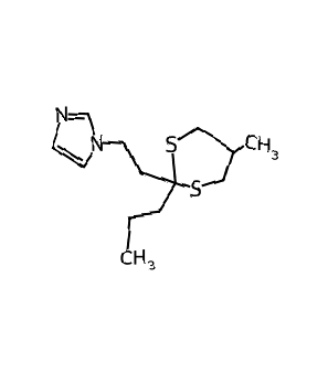 CCCC1(CCn2ccnc2)SCC(C)CS1